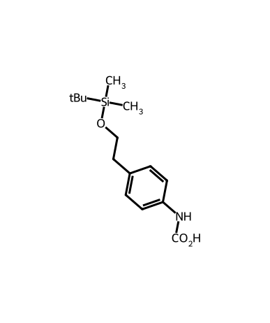 CC(C)(C)[Si](C)(C)OCCc1ccc(NC(=O)O)cc1